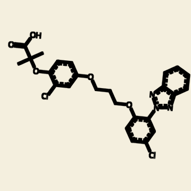 CC(C)(Oc1ccc(OCCCOc2ccc(Cl)cc2-n2nc3ccccc3n2)cc1Cl)C(=O)O